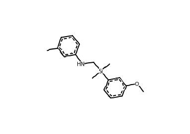 COc1cccc([Si](C)(C)CNc2cccc(C)c2)c1